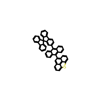 c1ccc2c(c1)-c1ccccc1C21c2ccccc2-c2ccc(-c3c4ccccc4c(-c4cc5cccc6sc7cccc4c7c56)c4ccccc34)cc21